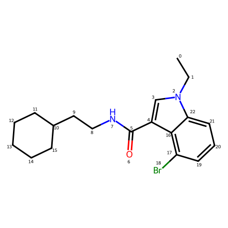 CCn1cc(C(=O)NCCC2CCCCC2)c2c(Br)cccc21